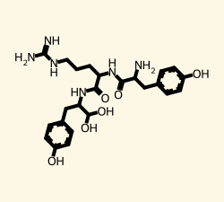 N=C(N)NCCCC(NC(=O)C(N)Cc1ccc(O)cc1)C(=O)NC(Cc1ccc(O)cc1)C(O)O